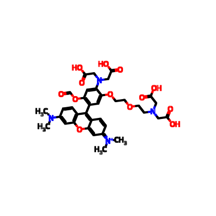 CN(C)c1ccc2c(-c3cc(OCCOCCN(CC(=O)O)CC(=O)O)c(N(CC(=O)O)CC(=O)O)cc3OC=O)c3ccc(=[N+](C)C)cc-3oc2c1